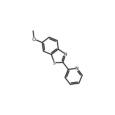 COc1ccc2nc(-c3ccccn3)sc2c1